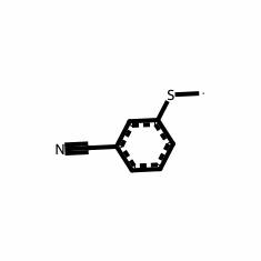 [CH2]Sc1cccc(C#N)c1